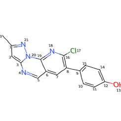 Cc1cc2ncc3cc(-c4ccc(O)cc4)c(Cl)nc3n2n1